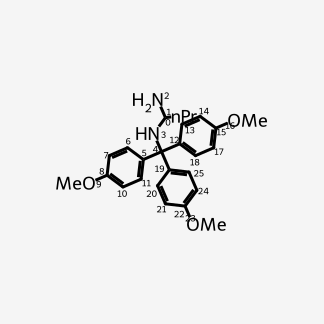 CCCC(N)NC(c1ccc(OC)cc1)(c1ccc(OC)cc1)c1ccc(OC)cc1